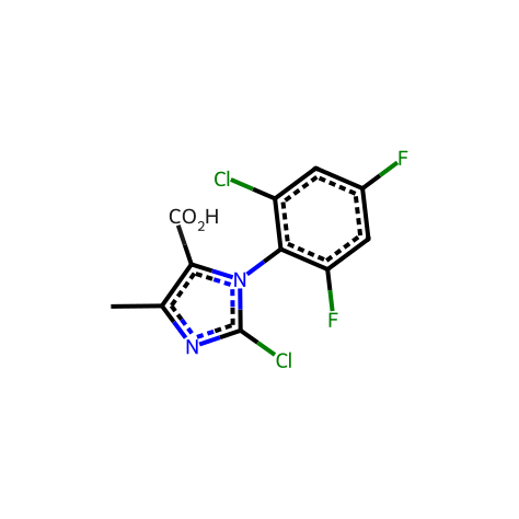 Cc1nc(Cl)n(-c2c(F)cc(F)cc2Cl)c1C(=O)O